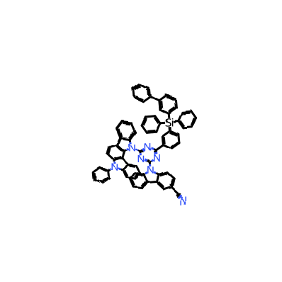 N#Cc1ccc2c(c1)c1ccccc1n2-c1nc(-c2cccc([Si](c3ccccc3)(c3ccccc3)c3cccc(-c4ccccc4)c3)c2)nc(-n2c3ccccc3c3ccc4c(c5ccccc5n4-c4ccccc4)c32)n1